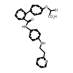 CCC(Oc1ccc(-c2ccccc2C(=O)Nc2ccc(NCCc3ccccn3)cc2)cc1)C(=O)O